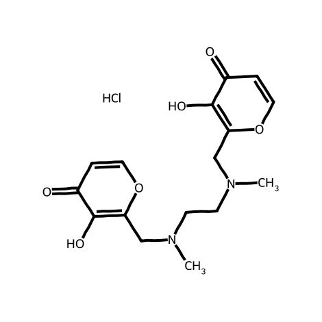 CN(CCN(C)Cc1occc(=O)c1O)Cc1occc(=O)c1O.Cl